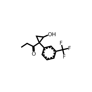 CCC(=O)C1(c2cccc(C(F)(F)F)c2)CC1O